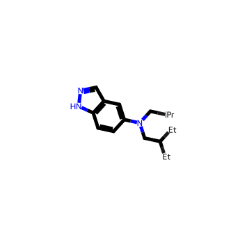 CCC(CC)CN(CC(C)C)c1ccc2[nH]ncc2c1